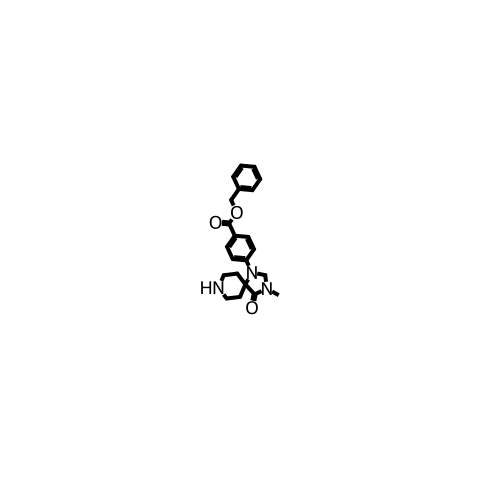 CN1CN(c2ccc(C(=O)OCc3ccccc3)cc2)C2(CCNCC2)C1=O